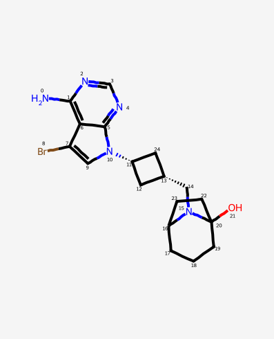 Nc1ncnc2c1c(Br)cn2[C@H]1C[C@@H](CN2C3CCCC2(O)CC3)C1